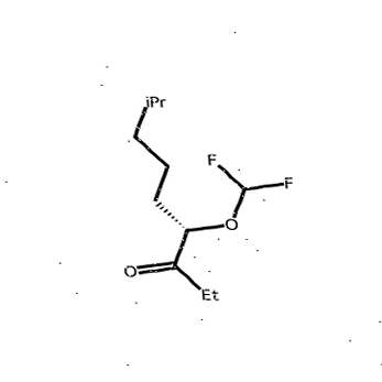 CCC(=O)[C@H](CCCC(C)C)OC(F)F